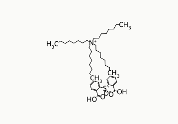 CCCCCCCC[N+](CCCCCCCC)(CCCCCCCC)CCCCCCCC.O=C(O)c1ccccc1[S+]([O-])c1ccccc1C(=O)O